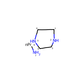 C1CNCCN1.CCCN